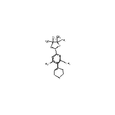 Cc1cc(B2OC(C)(C)C(C)(C)O2)cc(C)c1C1=CCSCC1